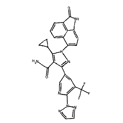 NC(=O)c1c(-c2cnc(-n3nccn3)c(C(F)(F)F)c2)nn(-c2ccc3c4c(cccc24)C(=O)N3)c1C1CC1